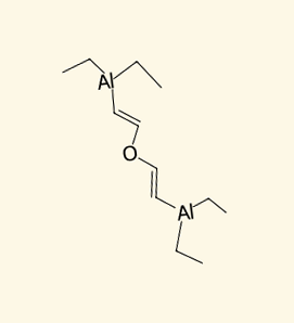 C[CH2][Al]([CH]=COC=[CH][Al]([CH2]C)[CH2]C)[CH2]C